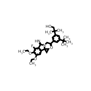 CCOc1cc2c(c(F)c1OCC)C(=N)N(CC(=O)c1cc(C(C)(C)C)cc(C(C)(C)CO)c1)C21CC1